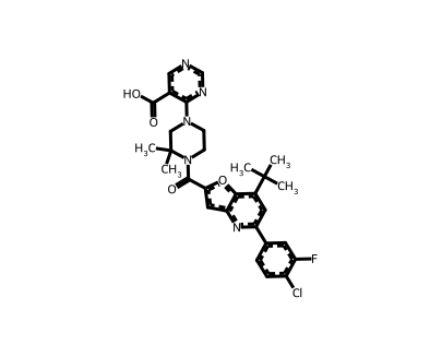 CC(C)(C)c1cc(-c2ccc(Cl)c(F)c2)nc2cc(C(=O)N3CCN(c4ncncc4C(=O)O)CC3(C)C)oc12